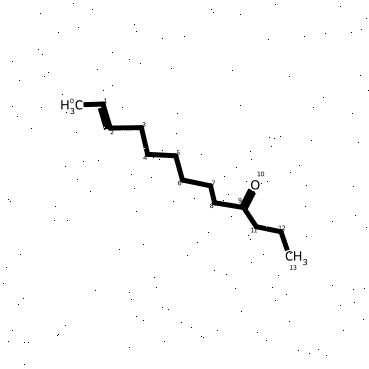 CC=CCCCCCCC(=O)CCC